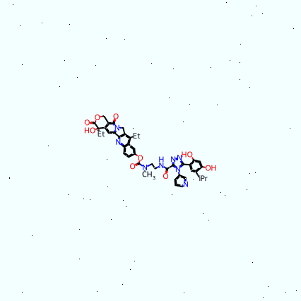 CCc1c2c(nc3ccc(OC(=O)N(C)CCNC(=O)c4nnc(-c5cc(C(C)C)c(O)cc5O)n4-c4cccnc4)cc13)-c1cc3c(c(=O)n1C2)COC(=O)C3(O)CC